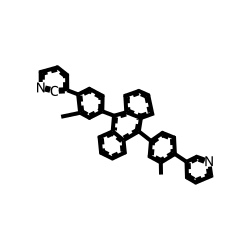 Cc1cc(-c2c3ccccc3c(-c3ccc(-c4cccnc4)c(C)c3)c3ccccc23)ccc1-c1cccnc1